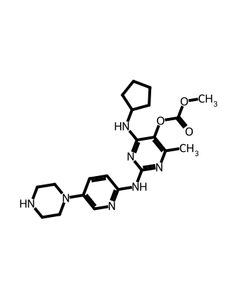 COC(=O)Oc1c(C)nc(Nc2ccc(N3CCNCC3)cn2)nc1NC1CCCC1